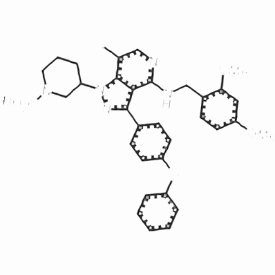 COc1ccc(CNc2ncc(I)c3c2c(-c2ccc(Oc4ccccc4)cc2)nn3C2CCCN(C(=O)O)C2)c(OC)c1